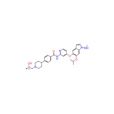 CNn1ccc2cc(Oc3ccnc(NC(=O)c4ccc(C5CCN(C[C@@H](C)O)CC5)cc4)c3)c(OC(C)C)cc21